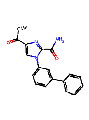 COC(=O)c1cn(-c2cccc(-c3ccccc3)c2)c(C(N)=O)n1